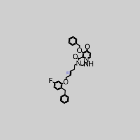 O=C1c2c(OCc3ccccc3)c(=O)ccn2NCN1CC/C=C/COc1cc(F)ccc1Cc1ccccc1